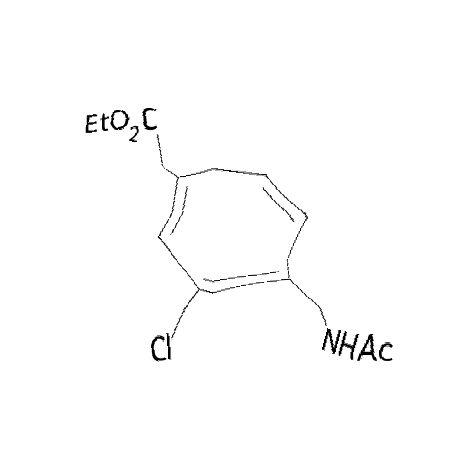 CCOC(=O)c1ccc(NC(C)=O)c(Cl)c1